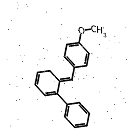 COc1ccc(C=C2CC=CC=C2c2ccccc2)cc1